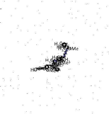 CO[C@@H](C[C@@H]1CC[C@@H](C)[C@@H](O)O1)/C(C)=C/C=C/C=C/[C@@H](C)C[C@@H](C)C(=O)[C@H](OC)[C@H](O)/C(C)=C/[C@@H](C)C(=O)C[C@H](OC(=O)[C@@H]1CCCCN1C(=O)C(C)=O)[C@H](C)C[C@@H]1CC[C@@H](OCCOCCO)[C@H](OC)C1